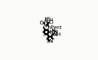 CCCCCc1c(Cl)n(C(C)(C)C)c(=O)n1Cc1ccc(-c2ccncc2-c2nnn[nH]2)cc1